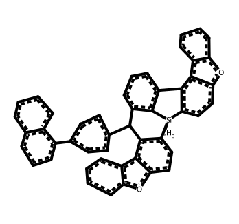 C[Si]12c3ccc4oc5ccccc5c4c3-c3cccc(c31)C(c1ccc(-c3cccc4ccccc34)cc1)c1c2ccc2oc3ccccc3c12